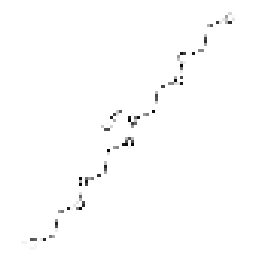 C=O.OCCOOCCOOCCOOCCO